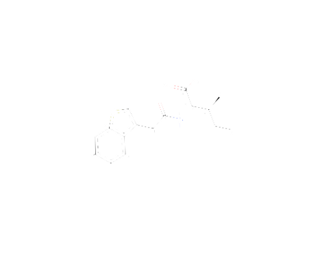 CC[C@H](C)[C@H](NC(=O)Cc1csc2ccccc12)C(=O)O